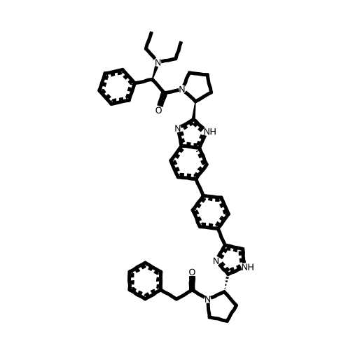 CCN(CC)[C@@H](C(=O)N1CCC[C@H]1c1nc2ccc(-c3ccc(-c4c[nH]c([C@@H]5CCCN5C(=O)Cc5ccccc5)n4)cc3)cc2[nH]1)c1ccccc1